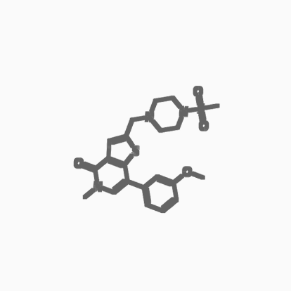 COc1cccc(-c2cn(C)c(=O)c3cc(CN4CCN(S(C)(=O)=O)CC4)sc23)c1